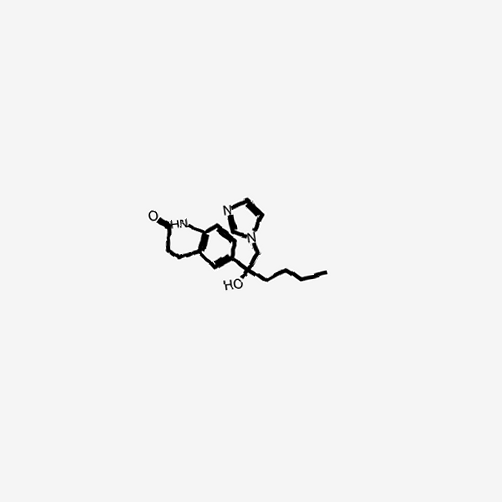 CCCCC(O)(Cn1ccnc1)c1ccc2c(c1)CCC(=O)N2